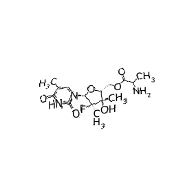 Cc1cn([C@H]2O[C@H](COC(=O)C(C)N)[C@](C)(O)[C@@]2(C)F)c(=O)[nH]c1=O